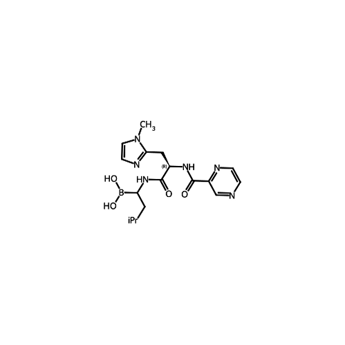 CC(C)CC(NC(=O)[C@@H](Cc1nccn1C)NC(=O)c1cnccn1)B(O)O